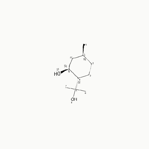 C[C@H]1CC[C@H](C(C)(C)O)[C@@H](O)C1